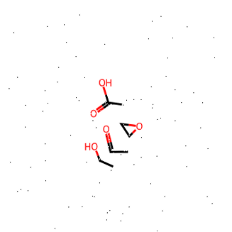 C1CO1.CC(=O)O.CC=O.CCO